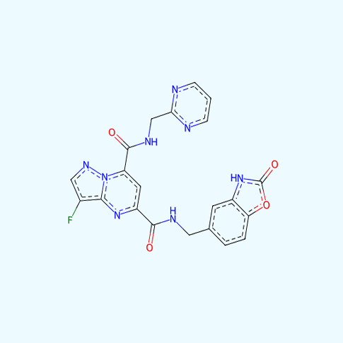 O=C(NCc1ccc2oc(=O)[nH]c2c1)c1cc(C(=O)NCc2ncccn2)n2ncc(F)c2n1